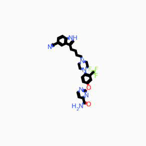 N#Cc1ccc2[nH]cc(CCCCN3CCN(c4ccc(Oc5nccc(C(N)=O)n5)cc4C(F)(F)F)CC3)c2c1